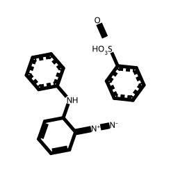 C=O.O=S(=O)(O)c1ccccc1.[N-]=[N+]=C1C=CC=CC1Nc1ccccc1